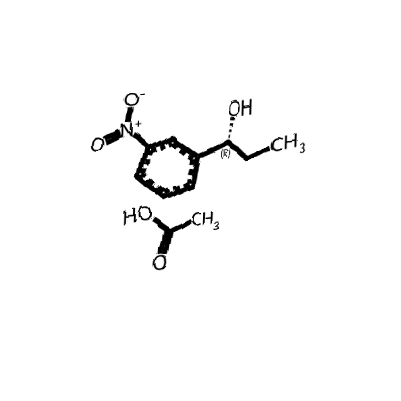 CC(=O)O.CC[C@@H](O)c1cccc([N+](=O)[O-])c1